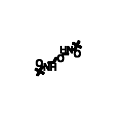 CC(C)(C)C(=O)NCCCOCCNC(=O)C(C)(C)C